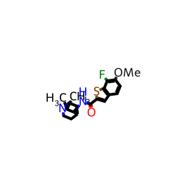 COc1ccc2cc(C(=O)NC3C4CCN(CC4)C3(C)C)sc2c1F